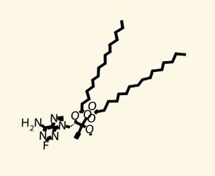 C#CC(COC(=O)CCCCCCCCCCCCCCC)(OC)[C@H](Cn1cnc2c(N)nc(F)nc21)OC(=O)CCCCCCCCCCCCCCC